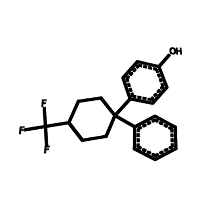 Oc1ccc(C2(c3ccccc3)CCC(C(F)(F)F)CC2)cc1